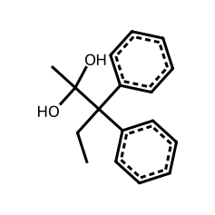 CCC(c1ccccc1)(c1ccccc1)C(C)(O)O